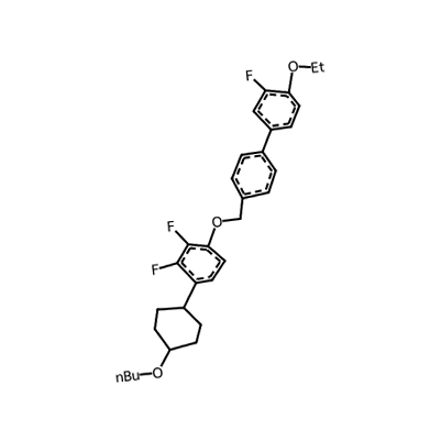 CCCCOC1CCC(c2ccc(OCc3ccc(-c4ccc(OCC)c(F)c4)cc3)c(F)c2F)CC1